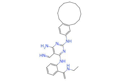 C=C(NCC)c1ccccc1Nc1nc(Nc2ccc3c(c2)CCCCCCCCCC3)nc(N)c1C=N